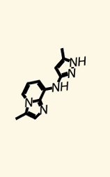 Cc1cc(Nc2cccn3c(C)cnc23)n[nH]1